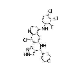 Fc1c(Nc2ccnc3c(Cl)cc(N[C@@H](C4=CCOCC4)c4c[nH]nn4)cc23)ccc(Cl)c1Cl